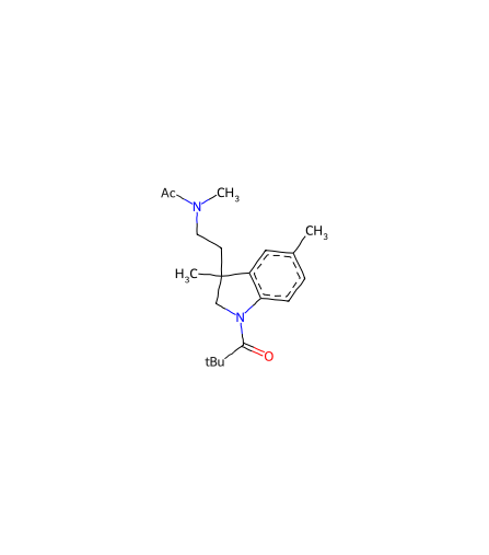 CC(=O)N(C)CCC1(C)CN(C(=O)C(C)(C)C)c2ccc(C)cc21